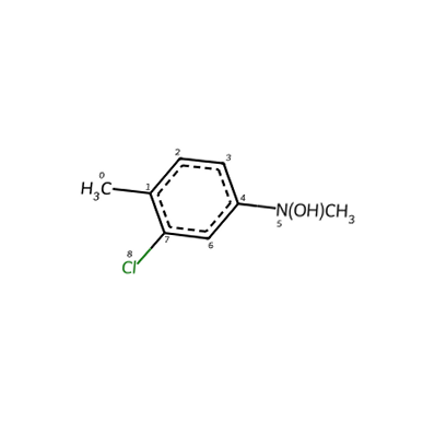 Cc1ccc(N(C)O)cc1Cl